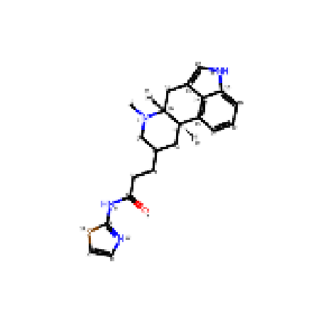 CN1CC(CCC(=O)Nc2nccs2)C[C@@H]2c3cccc4[nH]cc(c34)C[C@H]21